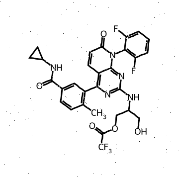 Cc1ccc(C(=O)NC2CC2)cc1-c1nc(NC(CO)COC(=O)C(F)(F)F)nc2c1ccc(=O)n2-c1c(F)cccc1F